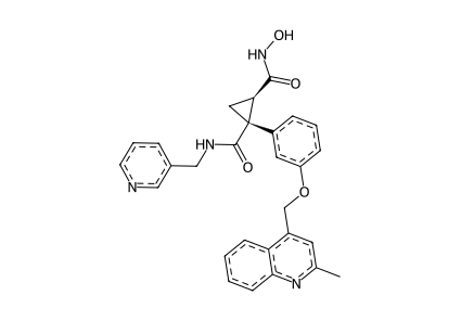 Cc1cc(COc2cccc([C@@]3(C(=O)NCc4cccnc4)C[C@H]3C(=O)NO)c2)c2ccccc2n1